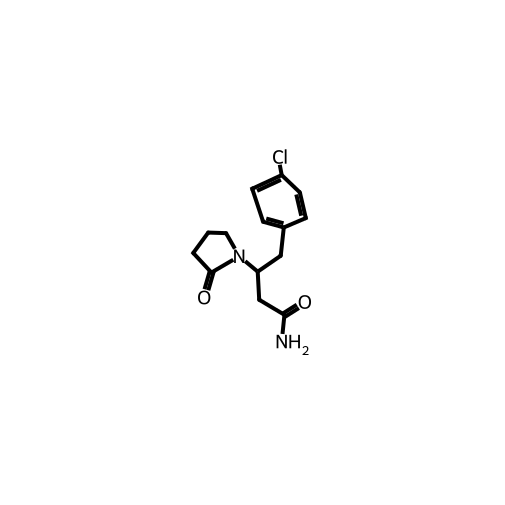 NC(=O)CC(Cc1ccc(Cl)cc1)N1CCCC1=O